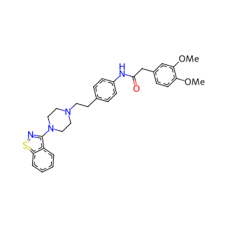 COc1ccc(CC(=O)Nc2ccc(CCN3CCN(c4nsc5ccccc45)CC3)cc2)cc1OC